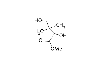 COC(=O)C(O)C(C)(C)CO